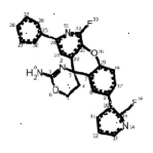 NC1=N[C@@]2(CCO1)c1cc(-c3cccnc3F)ccc1Oc1c2cc(-c2ccccc2)nc1F